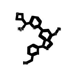 CCOc1cc(-c2cccc([C@@H](N)C3COC3)n2)cc2c1cnn2-c1cccc(CO)n1